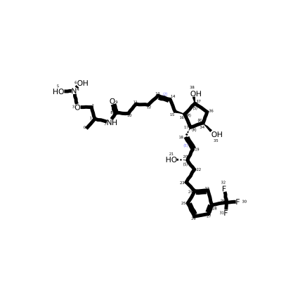 CC(CON(O)O)NC(=O)CCC/C=C\C[C@@H]1[C@@H](/C=C/[C@@H](O)CCc2cccc(C(F)(F)F)c2)[C@H](O)C[C@@H]1O